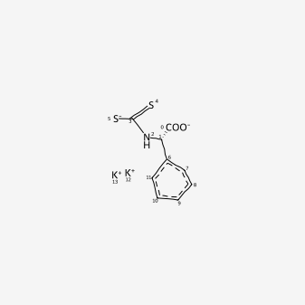 O=C([O-])[C@@H](NC(=S)[S-])c1ccccc1.[K+].[K+]